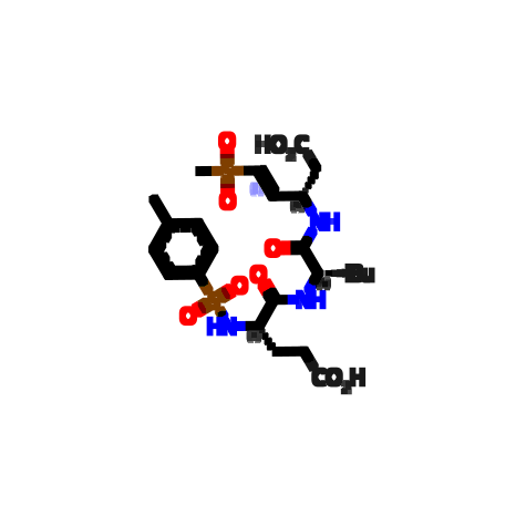 CCC(C)[C@H](NC(=O)[C@H](CCC(=O)O)NS(=O)(=O)c1ccc(C)cc1)C(=O)N[C@H](/C=C/S(C)(=O)=O)CC(=O)O